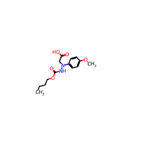 CCCCOC(=O)NN(CC(=O)O)c1ccc(OC)cc1